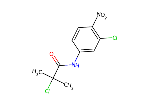 CC(C)(Cl)C(=O)Nc1ccc([N+](=O)[O-])c(Cl)c1